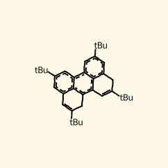 CC(C)(C)C1=Cc2c3c4c(cc(C(C)(C)C)cc4c4cc(C(C)(C)C)cc(c24)C1)C=C(C(C)(C)C)C3